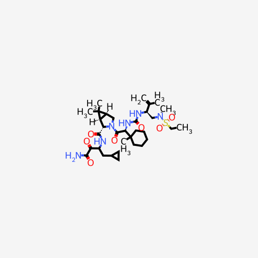 C=C(C)[C@@H](CN(C)S(=O)(=O)CC)NC(=O)N[C@H](C(=O)N1C[C@H]2[C@@H]([C@H]1C(=O)NC(CC1CC1)C(=O)C(N)=O)C2(C)C)C1(C)CCCCC1